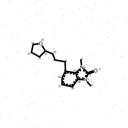 Cn1c(=O)n(C)c2c(CCCC3CCCO3)cccc21